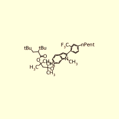 CCCCCc1ccc(-c2cc3ccc(OC(C)(C)CC(C)(C)OC(=O)C(CC(C)(C)C)C(C)(C)C)cc3n2C)c(C(F)(F)F)c1